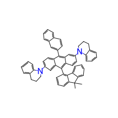 CC1(C)c2ccccc2-c2c(-c3c4ccc(N5CCCc6ccccc65)cc4c(-c4ccc5ccccc5c4)c4ccc(N5CCCc6ccccc65)cc34)cccc21